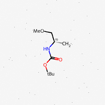 [CH2][C@@H](COC)NC(=O)OC(C)(C)C